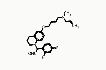 C=CCN(C)CC=CCOc1ccc2c(c1)CCCN2C(C=O)c1ccc(F)cc1F